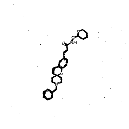 O=C(/C=C/c1ccc2c(c1)C=CC1(CCN(Cc3ccccc3)CC1)O2)NOC1CCCCO1